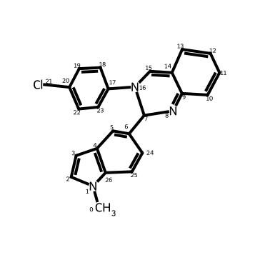 Cn1ccc2cc(C3N=c4ccccc4=CN3c3ccc(Cl)cc3)ccc21